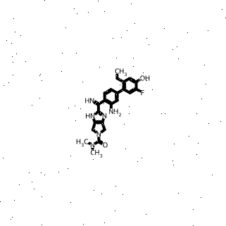 CCc1cc(O)c(F)cc1-c1ccc(C(=N)c2nc3c([nH]2)CN(C(=O)N(C)C)C3)c(N)c1